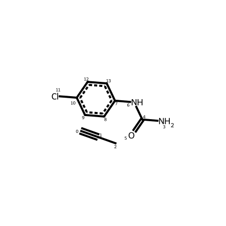 C#CC.NC(=O)Nc1ccc(Cl)cc1